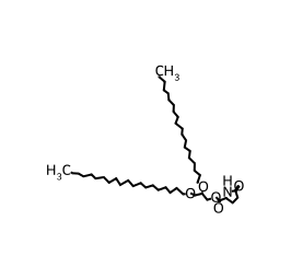 CCCCCCCCCCCCCCCCCCCCOCC(COC(=O)C1CCC(=O)N1)OCCCCCCCCCCCCCCCCCCCC